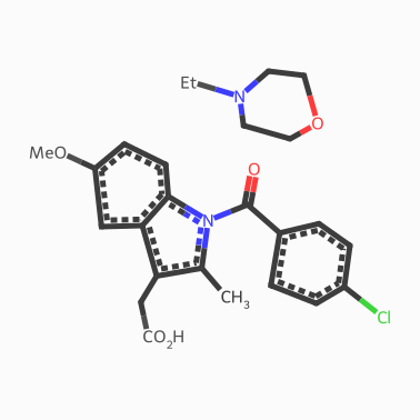 CCN1CCOCC1.COc1ccc2c(c1)c(CC(=O)O)c(C)n2C(=O)c1ccc(Cl)cc1